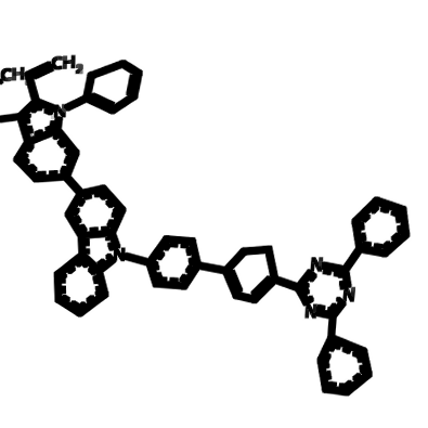 C=Cc1c(/C=C\C)c2ccc(-c3ccc4c(c3)c3ccccc3n4-c3ccc(C4=CC=C(c5nc(-c6ccccc6)nc(-c6ccccc6)n5)CC4)cc3)cc2n1C1=CC=CCC1